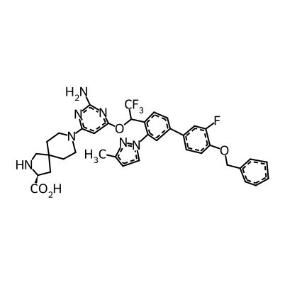 Cc1ccn(-c2cc(-c3ccc(OCc4ccccc4)c(F)c3)ccc2C(Oc2cc(N3CCC4(CC3)CN[C@H](C(=O)O)C4)nc(N)n2)C(F)(F)F)n1